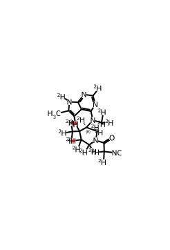 [2H]c1nc(N(C([2H])([2H])[2H])[C@@]2([2H])C([2H])([2H])N(C(=O)C([2H])([2H])[N+]#[C-])C([2H])([2H])C([2H])([2H])C2([2H])C([2H])([2H])[2H])c2c([2H])c(C)n([2H])c2n1